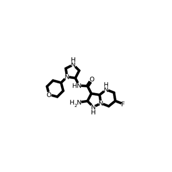 NC1NN2CC(F)CNC2C1C(=O)NC1CNCN1C1CCOCC1